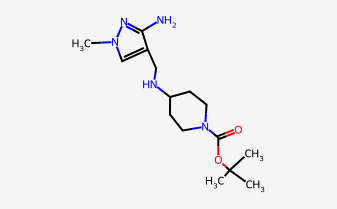 Cn1cc(CNC2CCN(C(=O)OC(C)(C)C)CC2)c(N)n1